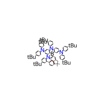 CC1(C)Cc2cc3c(cc2C1)N(c1ccc(C(C)(C)C)cc1-c1ccccc1)c1cc(N(c2ccc(C(C)(C)C)cc2)c2ccc(C(C)(C)C)cc2)cc2c1B3c1cc(N(c3ccc(C(C)(C)C)cc3)c3ccc(C(C)(C)C)cc3)ccc1N2c1cccc(C(C)(C)C)c1